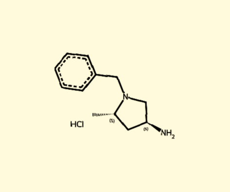 C[C@H]1C[C@H](N)CN1Cc1ccccc1.Cl